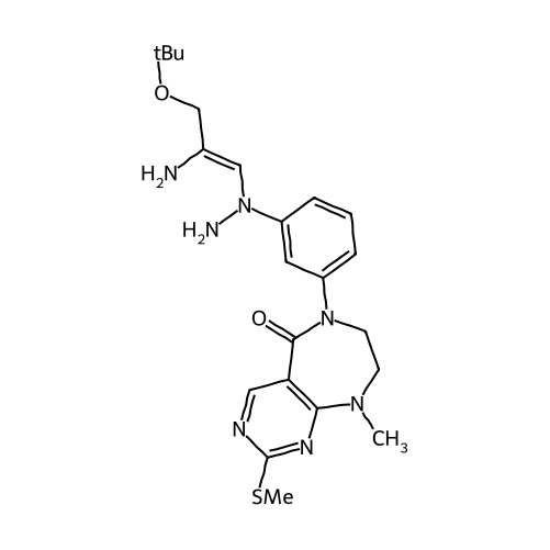 CSc1ncc2c(n1)N(C)CCN(c1cccc(N(N)/C=C(\N)COC(C)(C)C)c1)C2=O